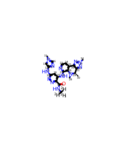 [2H]C([2H])([2H])NC(=O)c1nnc(Nc2cn(C)cn2)cc1Nc1nccc2c1N(C)[C@H](C)c1nn(C)nc1-2